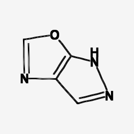 c1nc2cn[nH]c2o1